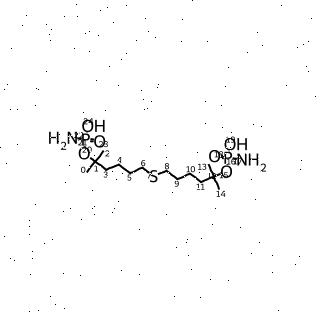 CC(C)(CCCCSCCCCC(C)(C)OP(N)(=O)O)OP(N)(=O)O